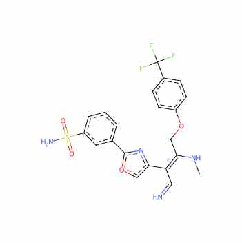 CN/C(COc1ccc(C(F)(F)F)cc1)=C(\C=N)c1coc(-c2cccc(S(N)(=O)=O)c2)n1